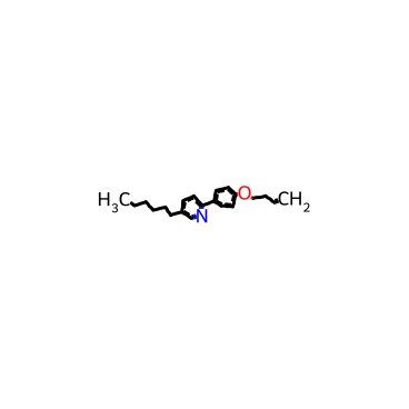 C=CCCOc1ccc(-c2ccc(CCCCCC)cn2)cc1